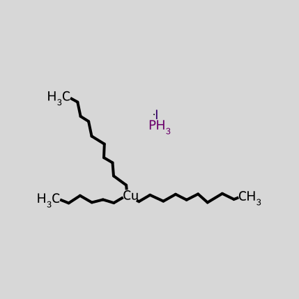 CCCCCCCCC[CH2][Cu]([CH2]CCCCC)[CH2]CCCCCCCCC.P.[I]